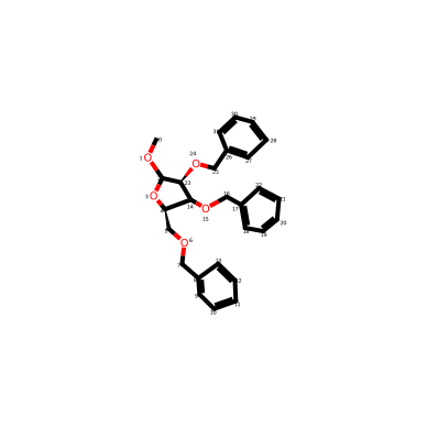 COC1O[C@H](COCc2ccccc2)C(OCc2ccccc2)[C@@H]1OCc1ccccc1